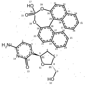 Nc1ccn([C@H]2CS[C@H](CO)O2)c(=O)n1.O=P1(O)Oc2ccc3ccccc3c2-c2c(ccc3ccccc23)O1